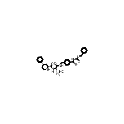 C[C@H](NC(=O)[C@H]1C[C@@H](c2ccccc2)CCN1)C(=O)NCc1ccc(C(=N)NC(=O)OCc2ccccc2)cc1.Cl